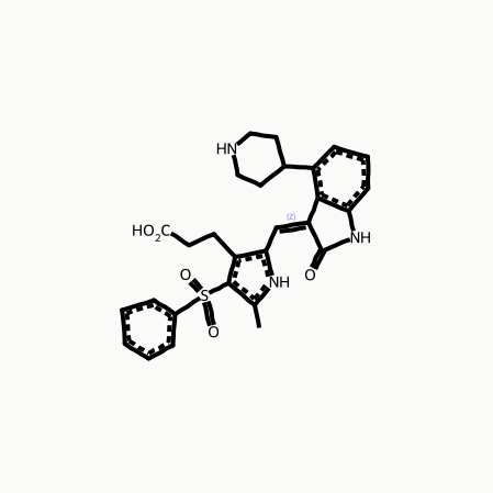 Cc1[nH]c(/C=C2\C(=O)Nc3cccc(C4CCNCC4)c32)c(CCC(=O)O)c1S(=O)(=O)c1ccccc1